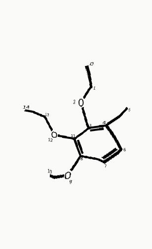 CCOc1c(C)ccc(OC)c1OCC